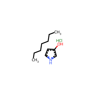 CCCCCCC.Cl.Oc1cc[nH]c1